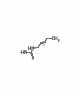 CC/C=C/CNC([NH])=S